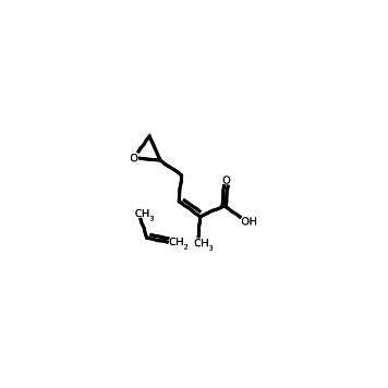 C=CC.CC(=CCC1CO1)C(=O)O